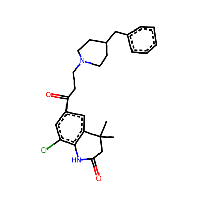 CC1(C)CC(=O)Nc2c(Cl)cc(C(=O)CCN3CCC(Cc4ccccc4)CC3)cc21